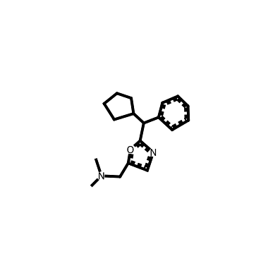 CN(C)Cc1cnc(C(c2ccccc2)C2CCCC2)o1